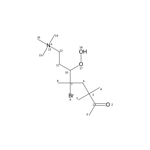 CC(=O)C(C)(C)CC(C)(Br)C(CC[N+](C)(C)C)OO